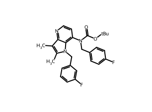 Cc1c(C)n(Cc2cccc(F)c2)c2c(N(Cc3ccc(F)cc3)C(=O)OC(C)(C)C)ccnc12